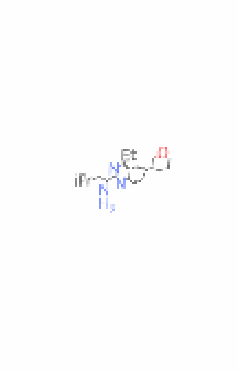 CCc1nc(C(N)CC(C)C)nc2ccc(C3CCCOC3)cc12